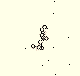 c1ccc(-c2nc3cccc4c5cc(-n6c7ccccc7c7c8oc9c%10ccccc%10ccc9c8ccc76)ccc5c2n34)cc1